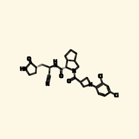 N#CC(C[C@@H]1CCNC1=O)NC(=O)[C@@H]1C2CCCC2CN1C(=O)C1CN(c2ccc(Cl)cc2Cl)C1